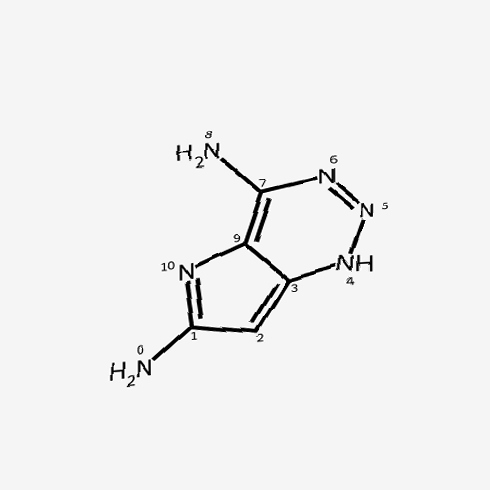 Nc1cc2[nH]nnc(N)c-2n1